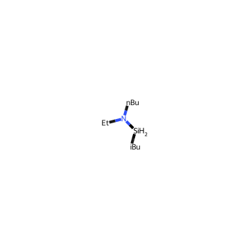 CCCCN(CC)[SiH2]C(C)CC